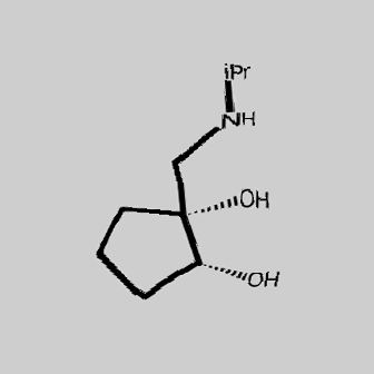 CC(C)NC[C@]1(O)CCC[C@H]1O